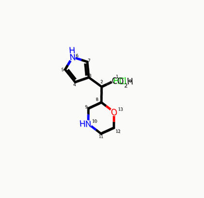 Cl.O=C(O)C(c1cc[nH]c1)C1CNCCO1